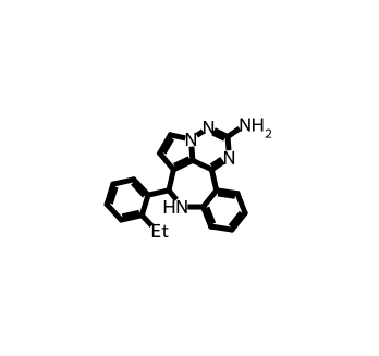 CCc1ccccc1C1Nc2ccccc2-c2nc(N)nn3ccc1c23